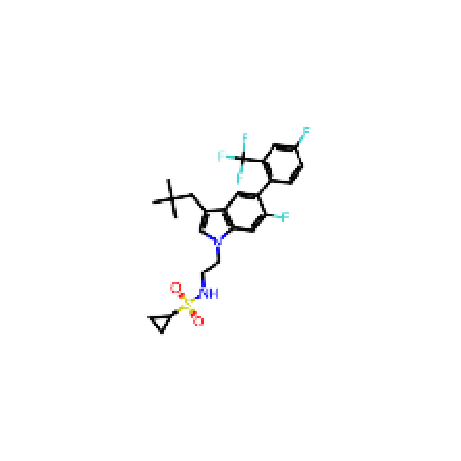 CC(C)(C)Cc1cn(CCNS(=O)(=O)C2CC2)c2cc(F)c(-c3ccc(F)cc3C(F)(F)F)cc12